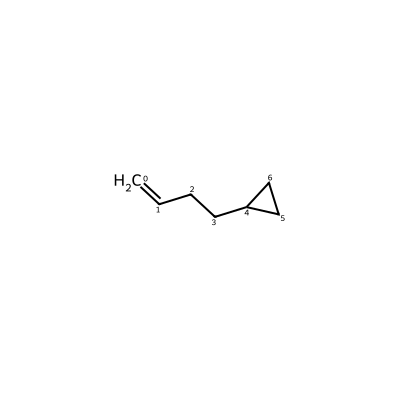 C=CCCC1CC1